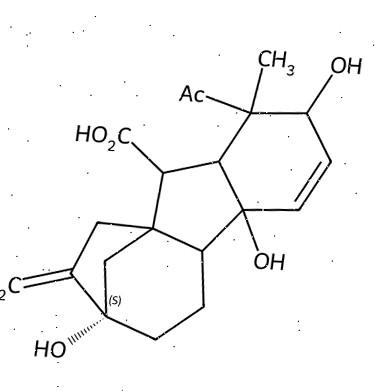 C=C1CC23C[C@@]1(O)CCC2C1(O)C=CC(O)C(C)(C(C)=O)C1C3C(=O)O